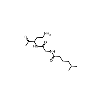 CC(=O)C(CCN)NC(=O)CNC(=O)CCCC(C)C